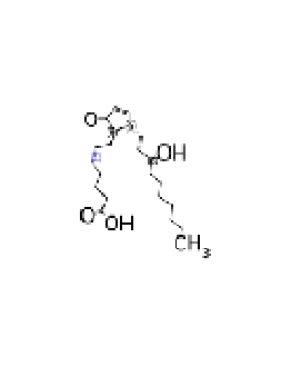 CCCCCCC[C@H](O)C=C[C@H]1C=CC(=O)[C@@H]1C/C=C\CCCC(=O)O